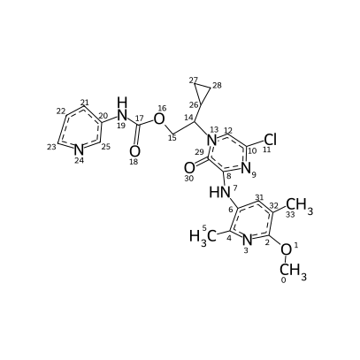 COc1nc(C)c(Nc2nc(Cl)cn(C(COC(=O)Nc3cccnc3)C3CC3)c2=O)cc1C